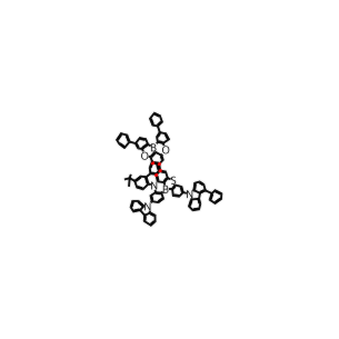 CC(C)(C)c1ccc(N2c3cc(-n4c5ccccc5c5ccccc54)ccc3B3c4ccc(-n5c6ccccc6c6c(-c7ccccc7)cccc65)cc4Sc4cc(-c5cc6c7c(c5)Oc5ccc(-c8ccccc8)cc5B7c5ccc(-c7ccccc7)cc5O6)cc2c43)c(-c2ccccc2)c1